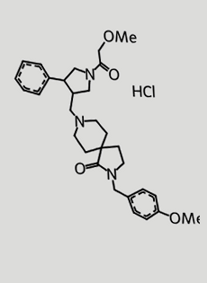 COCC(=O)N1CC(CN2CCC3(CC2)CCN(Cc2ccc(OC)cc2)C3=O)C(c2ccccc2)C1.Cl